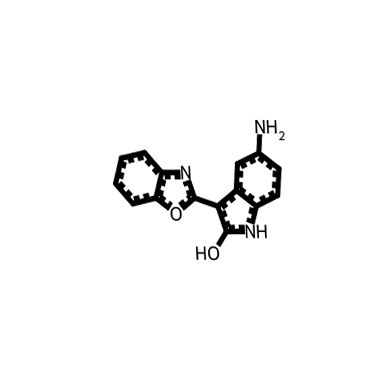 Nc1ccc2[nH]c(O)c(-c3nc4ccccc4o3)c2c1